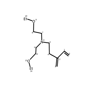 C=CC(=C)CCN(CCOCC)CCOCC